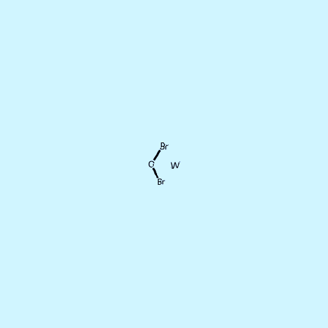 BrOBr.[W]